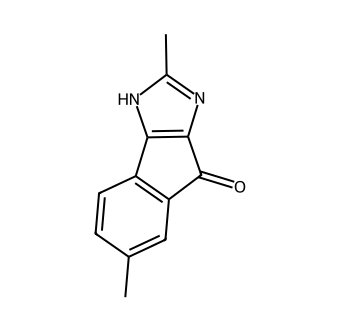 Cc1ccc2c(c1)C(=O)c1nc(C)[nH]c1-2